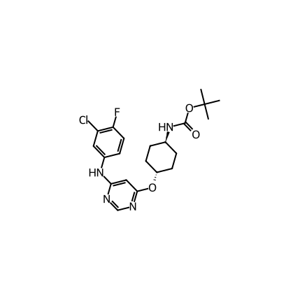 CC(C)(C)OC(=O)N[C@H]1CC[C@H](Oc2cc(Nc3ccc(F)c(Cl)c3)ncn2)CC1